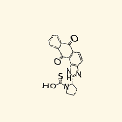 O=C1c2ccccc2C(=O)c2c1ccc1nc([C@@H]3CCCN3C(O)=S)[nH]c21